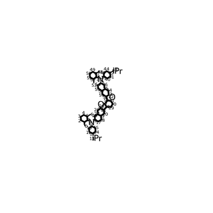 Cc1cccc(C)c1N(c1ccc(C(C)C)cc1)c1ccc2cc3c(cc2c1)oc1c3ccc2oc3cc4cc(N(c5ccc(C(C)C)cc5)c5c(C)cccc5C)ccc4cc3c21